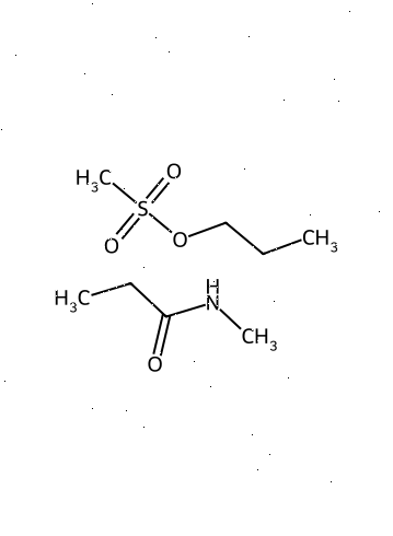 CCC(=O)NC.CCCOS(C)(=O)=O